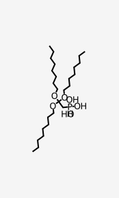 CCCCCCCCOC(C[PH](O)(O)O)(OCCCCCCCC)OCCCCCCCC